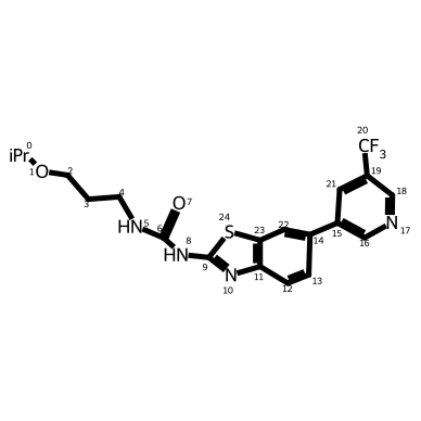 CC(C)OCCCNC(=O)Nc1nc2ccc(-c3cncc(C(F)(F)F)c3)cc2s1